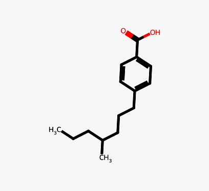 CCCC(C)CCCc1ccc(C(=O)O)cc1